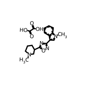 CN1CCCC(c2nc(-c3cn(C)c4ccccc34)no2)C1.O=C(O)C(=O)O